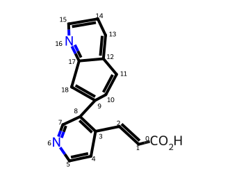 O=C(O)C=Cc1ccncc1-c1ccc2cccnc2c1